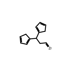 [Zr]=[CH]CC(C1=CC=CC1)C1=CC=CC1